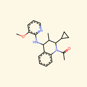 COc1cccnc1NC1c2ccccc2N(C(C)=O)C(C2CC2)C1C